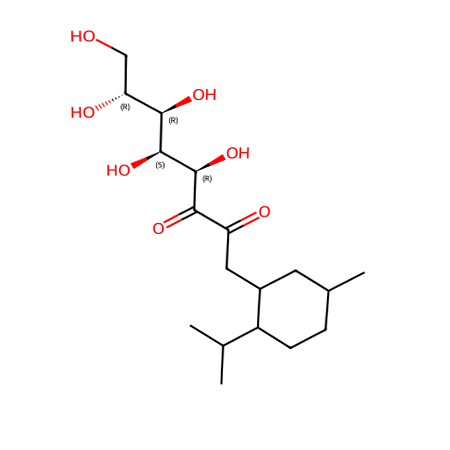 CC1CCC(C(C)C)C(CC(=O)C(=O)[C@H](O)[C@@H](O)[C@H](O)[C@H](O)CO)C1